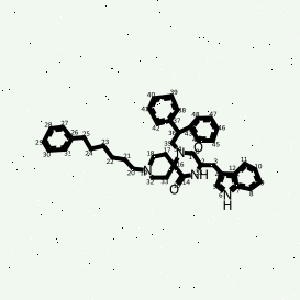 O=C1C(Cc2c[nH]c3ccccc23)NC(=O)C2(CCN(CCCCCCc3ccccc3)CC2)N1CC(c1ccccc1)c1ccccc1